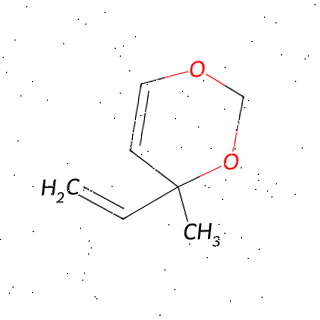 C=CC1(C)C=COCO1